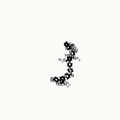 CCc1cc(Nc2ncc(Br)c(Nc3cnc4ccccc4c3P(C)(C)=O)n2)c(OC)cc1N1CCC(N2CCN(C(=O)C3CCN(c4ccc5c(c4)C(C)(C)C(=O)N5C4CCC(=O)NC4=O)CC3)CC2)CC1